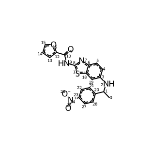 CC(Nc1ccc2nc(NC(=O)c3ccco3)sc2c1)c1ccc([N+](=O)[O-])cc1